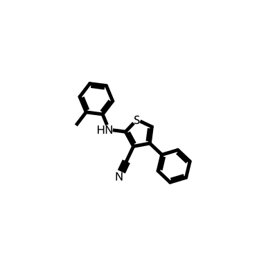 Cc1ccccc1Nc1scc(-c2ccccc2)c1C#N